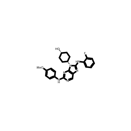 COc1ccc(Nc2ncc3nc(Nc4ccccc4F)n([C@H]4CC[C@@H](O)CC4)c3n2)cc1